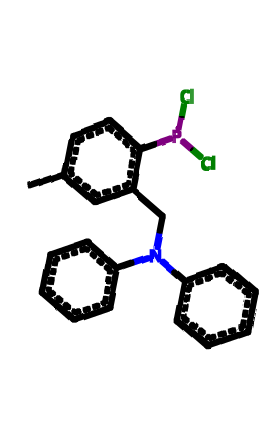 Cc1ccc(P(Cl)Cl)c(CN(c2ccccc2)c2ccccc2)c1